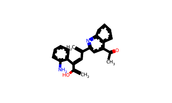 C=C(O)/C(=C/C(=C)c1cc(C(C)=O)c2ccccc2n1)c1ccccc1N